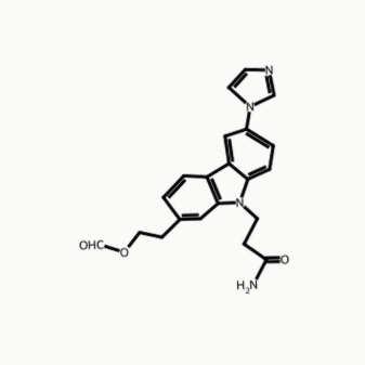 NC(=O)CCn1c2ccc(-n3ccnc3)cc2c2ccc(CCOC=O)cc21